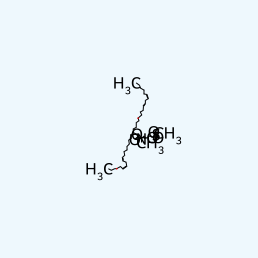 CCCCC/C=C\CC=CCCCCCCCCC(CCCCCCCC/C=C\C/C=C\CCCCC)OC(=O)N(C)CCCOS(C)(=O)=O